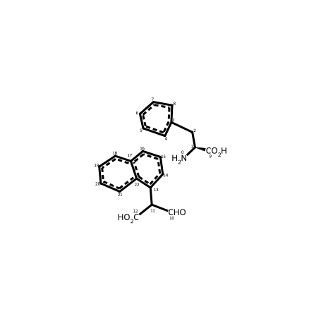 N[C@@H](Cc1ccccc1)C(=O)O.O=CC(C(=O)O)c1cccc2ccccc12